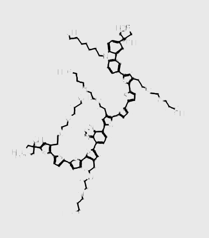 CCCCCCCCn1c2ccc(-c3cc(CCOCCOCCCC)c(-c4ccc(-c5ccc(-c6sc(-c7ccc(-c8cc(CCOCCOCCCC)c(-c9ccc(-c%10ccc(-c%11sc(C(C)(CC)CC)cc%11CCOCCOCCCC)s%10)s9)s8)c8nsnc78)cc6CCOCCOCCCC)s5)s4)s3)cc2c2cc(C(C)(CC)CC)ccc21